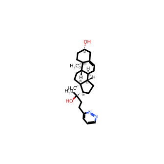 CC(O)(CCc1cccnn1)[C@H]1CC[C@H]2[C@@H]3CC=C4C[C@@H](O)CC[C@]4(C)[C@H]3CC[C@]12C